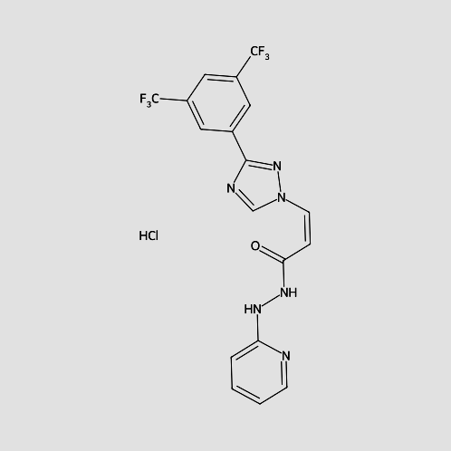 Cl.O=C(/C=C\n1cnc(-c2cc(C(F)(F)F)cc(C(F)(F)F)c2)n1)NNc1ccccn1